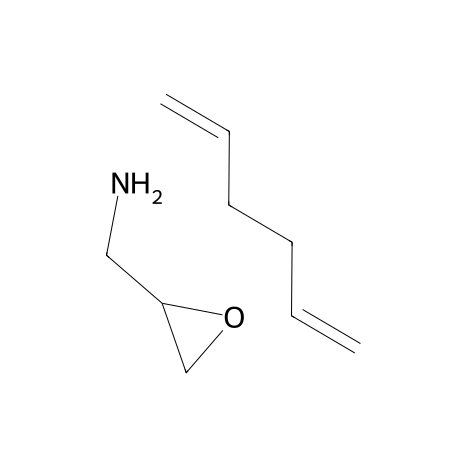 C=CCCC=C.NCC1CO1